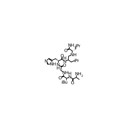 CCC(C)[C@H](NC(=O)C(C)N)C(=O)NCC(=O)N[C@@H](Cc1cnc[nH]1)C(=O)NC(CN[C@@H](CC(C)C)C(N)=O)CC(C)C